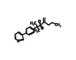 CCCNS(=O)(=O)C(C)(C)c1ccc(-c2cccnc2)cc1